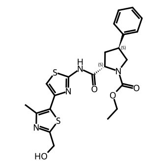 CCOC(=O)N1C[C@H](c2ccccc2)C[C@H]1C(=O)Nc1nc(-c2sc(CO)nc2C)cs1